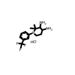 CC1(C)C(N)C(N)CCN1c1cccc(C(F)(F)F)c1.Cl